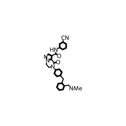 CNCc1ccccc1Cc1ccc(N2CCn3ncc(C(=O)Nc4cccc(C#N)c4)c3C2=O)cc1